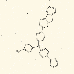 Cc1ccc(N(c2ccc(-c3ccccc3)cc2)c2ccc(-c3ccc4c(c3)Cc3ccccc3-4)cc2)cc1